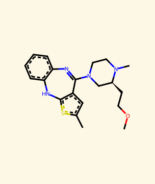 COCC[C@H]1CN(C2=Nc3ccccc3Nc3sc(C)cc32)CCN1C